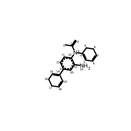 C=C(C)N(C1=CC=CCC1)c1ccc(C2=CCCC=C2)cc1N